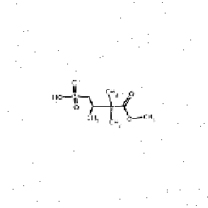 COC(=O)C(C)(C)C(C)CS(=O)(=O)O